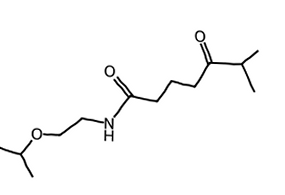 CC(C)OCCNC(=O)CCCC(=O)C(C)C